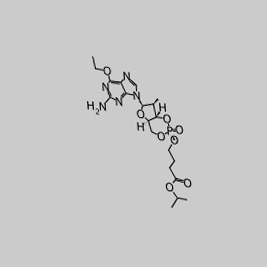 CCOc1nc(N)nc2c1ncn2[C@@H]1O[C@@H]2CO[P@](=O)(OCCCC(=O)OC(C)C)O[C@H]2[C@@H]1C